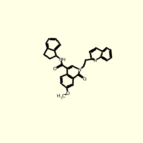 COc1ccc2c(C(=O)NC3CCc4ccccc43)cn(CCc3ccc4ccccc4n3)c(=O)c2c1